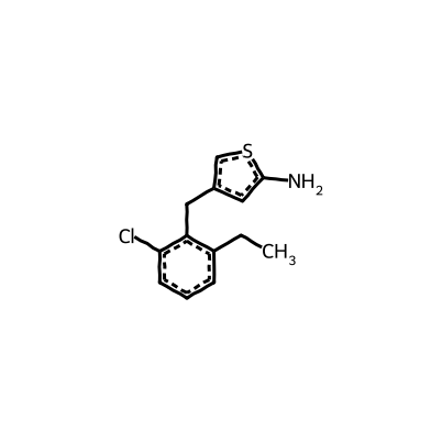 CCc1cccc(Cl)c1Cc1csc(N)c1